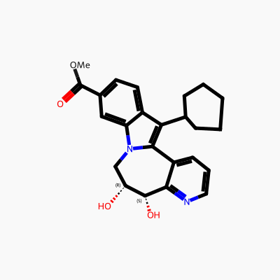 COC(=O)c1ccc2c(C3CCCCC3)c3n(c2c1)C[C@@H](O)[C@@H](O)c1ncccc1-3